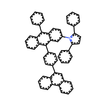 c1ccc(-c2c3ccccc3c(-c3ccc(-c4cc5ccccc5c5ccccc45)cc3)c3cc(-n4c(-c5ccccc5)ccc4-c4ccccc4)ccc23)cc1